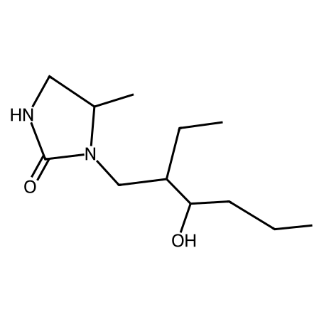 CCCC(O)C(CC)CN1C(=O)NCC1C